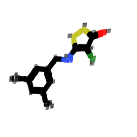 Cc1cc(C)cc(CNc2ssc(=O)c2Cl)c1